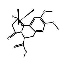 COC(=O)[C@@H]1Cc2cc(OC)c(OC)cc2[C@@]23C[C@H](C)[C@@H](C)[C@@H]2CC(=O)N13